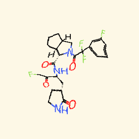 O=C1NCC[C@@H]1C[C@H](NC(=O)[C@@H]1[C@@H]2CCC[C@@H]2CN1C(=O)C(F)(F)c1cccc(F)c1)C(=O)CF